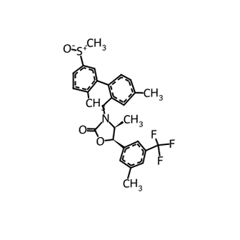 Cc1cc([C@H]2OC(=O)N(Cc3cc(C)ccc3-c3cc([S+](C)[O-])ccc3C)[C@H]2C)cc(C(F)(F)F)c1